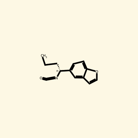 CCC[C@@H](N=C=O)c1ccc2occc2c1